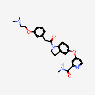 CNC(=O)c1cc(Oc2ccc3c(c2)CCN3C(=O)Cc2cccc(OCCN(C)C)c2)ccn1